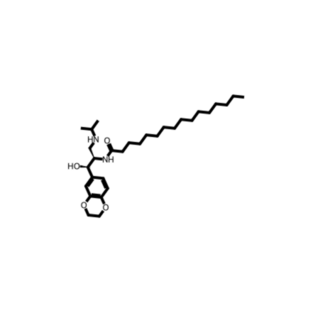 CCCCCCCCCCCCCCCC(=O)N[C@H](CNC(C)C)[C@H](O)c1ccc2c(c1)OCCO2